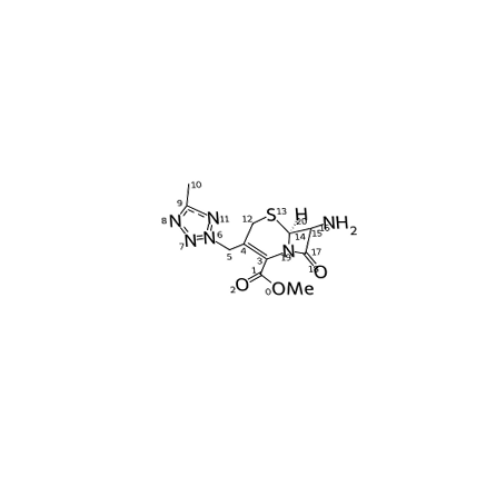 COC(=O)C1=C(Cn2nnc(C)n2)CS[C@H]2C(N)C(=O)N12